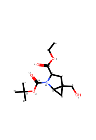 CCOC(=O)C1CC2(CO)CC2N1C(=O)OC(C)(C)C